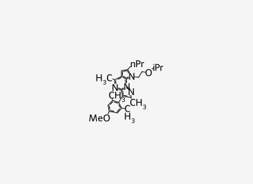 CCCc1cc2c(C)nc3c(-c4c(C)cc(OC)cc4C)c(C)nn3c2n1CCOC(C)C